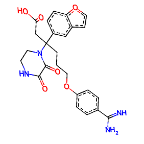 N=C(N)c1ccc(OCCCC(CC(=O)O)(c2ccc3occc3c2)N2CCNC(=O)C2=O)cc1